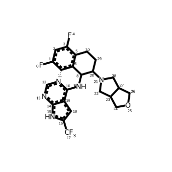 Fc1cc(F)c2c(c1)C(Nc1ncnc3[nH]c(C(F)(F)F)cc13)C(N1CC3COCC3C1)CC2